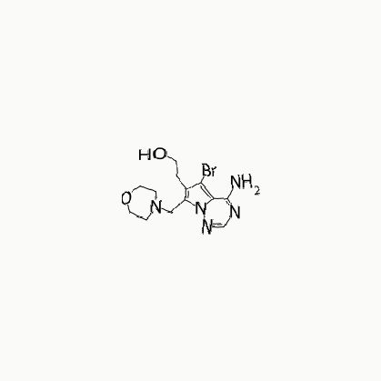 Nc1ncnn2c(CN3CCOCC3)c(CCO)c(Br)c12